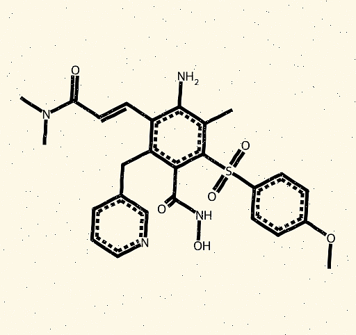 COc1ccc(S(=O)(=O)c2c(C)c(N)c(C=CC(=O)N(C)C)c(Cc3cccnc3)c2C(=O)NO)cc1